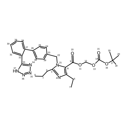 CCCc1nc(CC)c(C(=O)OCOC(=O)OC(C)(C)C)n1Cc1ccc(-c2ccccc2-c2nnn[nH]2)cc1